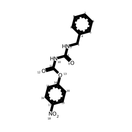 O=C(NCc1ccccc1)NC(=O)Oc1ccc([N+](=O)[O-])cc1